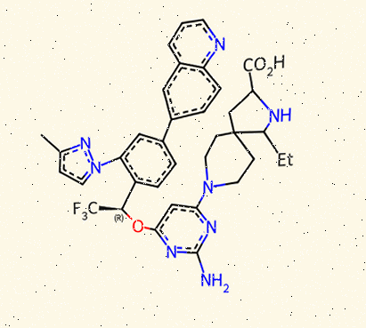 CCC1NC(C(=O)O)CC12CCN(c1cc(O[C@H](c3ccc(-c4ccc5ncccc5c4)cc3-n3ccc(C)n3)C(F)(F)F)nc(N)n1)CC2